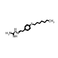 CCCCCCCSc1ccc(CC=NNC(=N)N)cc1